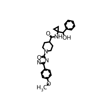 COc1ccc(-c2noc(N3CCC(C(=O)NC4(C(O)c5ccccc5)CC4)CC3)n2)cc1